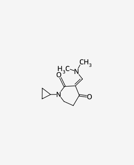 CN(C)/C=C1/C(=O)CCN(C2CC2)C1=O